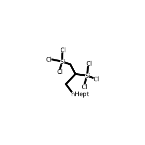 CCCCCCCCC(C[Si](Cl)(Cl)Cl)[Si](Cl)(Cl)Cl